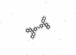 C1=CC2=CC(N(c3ccc(/C=C/c4ccc(N(C5=CCC6C=CC=CC6=C5)c5ccc6ccccc6c5)cc4)cc3)c3ccc4ccccc4c3)=CCC2C=C1